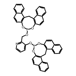 c1cnc(COP2Oc3ccc4ccccc4c3Cc3c(ccc4ccccc34)O2)c(OP2Oc3ccc4ccccc4c3Cc3c(ccc4ccccc34)O2)c1